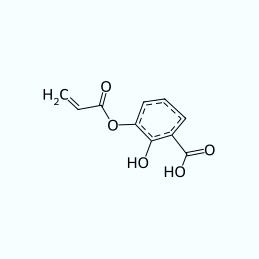 C=CC(=O)Oc1cccc(C(=O)O)c1O